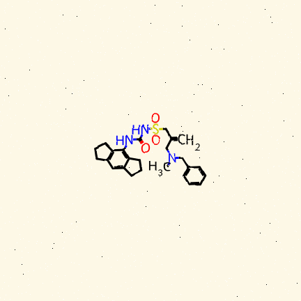 C=C(CN(C)Cc1ccccc1)CS(=O)(=O)NC(=O)Nc1c2c(cc3c1CCC3)CCC2